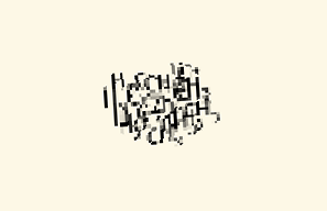 CC[CH](C)[Zn-2]([C](C)(C)C)([C](C)(C)C)[C](C)(C)C.[Li+].[Li+]